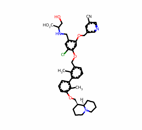 Cc1c(COc2cc(OCc3cncc(C#N)c3)c(CNC(CO)C(=O)O)cc2Cl)cccc1-c1cccc(OC[C@@H]2CCCN3CCCC[C@H]23)c1C